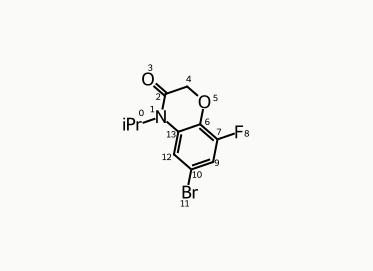 CC(C)N1C(=O)COc2c(F)cc(Br)cc21